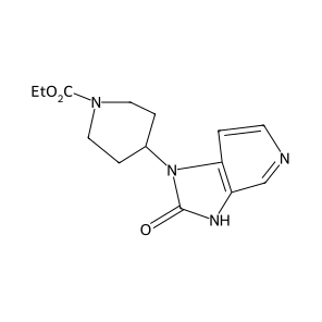 CCOC(=O)N1CCC(n2c(=O)[nH]c3cnccc32)CC1